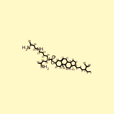 CCC(CCCC1CCC2C3CC=C4CC(OC(=O)N(CCCCNCCC(C)N)CCC(C)N)CCC4(C)C3CC[C@]12C)C(C)C